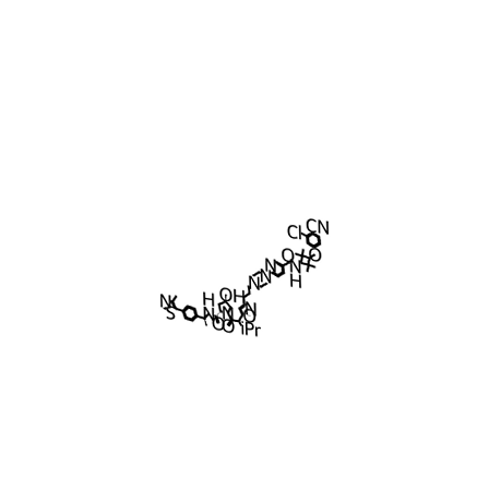 Cc1ncsc1-c1ccc([C@H](C)NC(=O)[C@@H]2C[C@@H](O)CN2C(=O)C(c2cc(CCCN3CCN(c4ccc(C(=O)NC5C(C)(C)C(Oc6ccc(C#N)c(Cl)c6)C5(C)C)cn4)CC3)no2)C(C)C)cc1